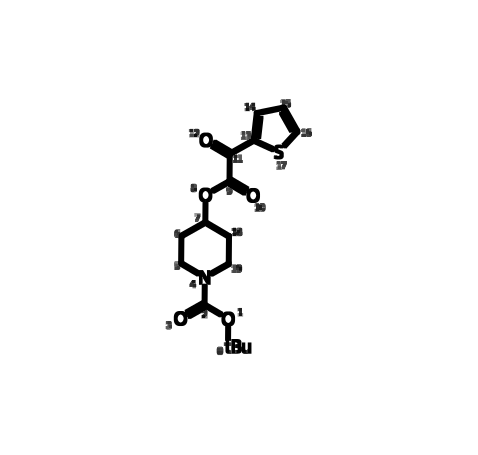 CC(C)(C)OC(=O)N1CCC(OC(=O)C(=O)c2cccs2)CC1